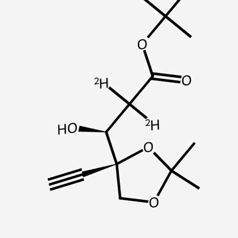 [2H]C([2H])(C(=O)OC(C)(C)C)[C@H](O)[C@@]1(C#C)COC(C)(C)O1